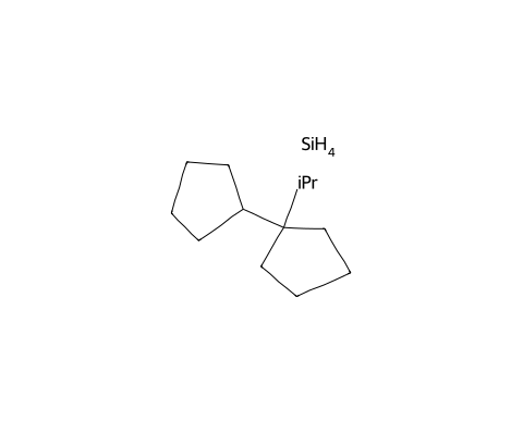 CC(C)C1(C2CCCC2)CCCC1.[SiH4]